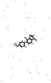 Cc1c(-c2ccc(C=O)cc2)ccc2c1ncn2C